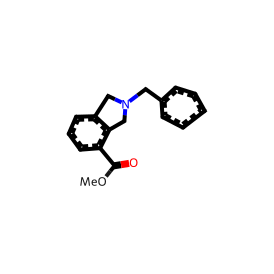 COC(=O)c1cccc2c1CN(Cc1ccccc1)C2